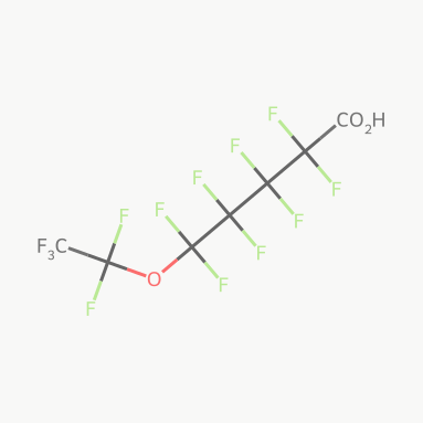 O=C(O)C(F)(F)C(F)(F)C(F)(F)C(F)(F)OC(F)(F)C(F)(F)F